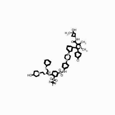 Cc1c(C(=O)N[C@H]2C[C@@](C)(O)C2)c(-c2cccc(N3CCN(c4ccc(NS(=O)(=O)c5ccc(N[C@H](CCN6CCC(O)CC6)CSc6ccccc6)c(S(=O)(=O)C(F)(F)F)c5)cc4)CC3)c2)c(-c2ccc(Cl)cc2)n1C